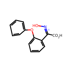 O=C(O)/C(=N/O)c1ccccc1Oc1ccccc1